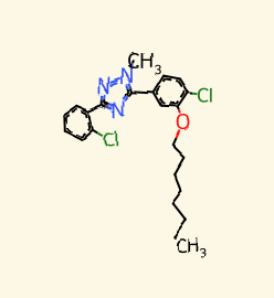 CCCCCCCCOc1cc(-c2nc(-c3ccccc3Cl)nn2C)ccc1Cl